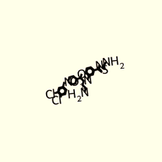 NCCCC(Oc1ccc(-c2csc(N)n2)cc1[N+](=O)[O-])C1CCN(Cc2ccc(Cl)c(Cl)c2)CC1